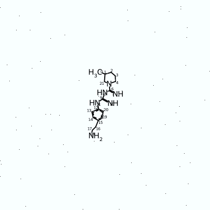 CC1CCCN(C(=N)NC(=N)Nc2ccc(CCN)cc2)C1